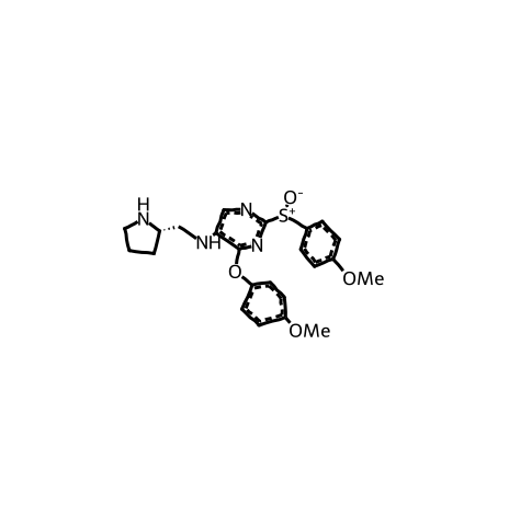 COc1ccc(Oc2nc([S@+]([O-])c3ccc(OC)cc3)ncc2NC[C@@H]2CCCN2)cc1